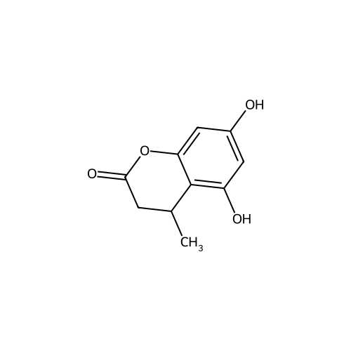 CC1CC(=O)Oc2cc(O)cc(O)c21